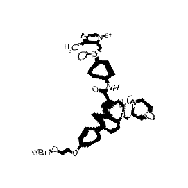 CCCCOCCOc1ccc(-c2ccc3c(c2)C=C(C(=O)Nc2ccc([S@+]([O-])Cc4c(C)ncn4CC)cc2)CCN3C[C@H]2COCCN2C)cc1